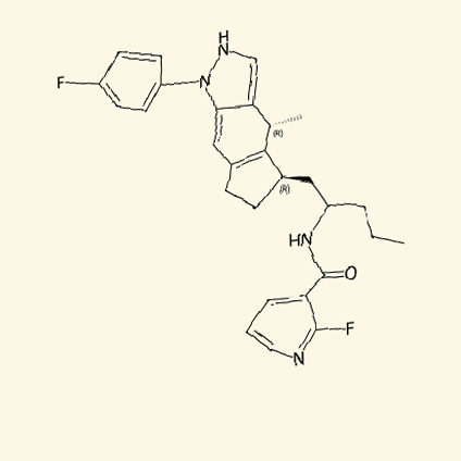 CCCC(C[C@H]1CCC2=C1[C@@H](C)C1=CNN(c3ccc(F)cc3)C1=C2)NC(=O)c1cccnc1F